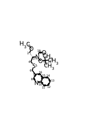 COC[C@@H](CSCc1cnc2ccccc2c1)N(C=O)OC(C)(C)C